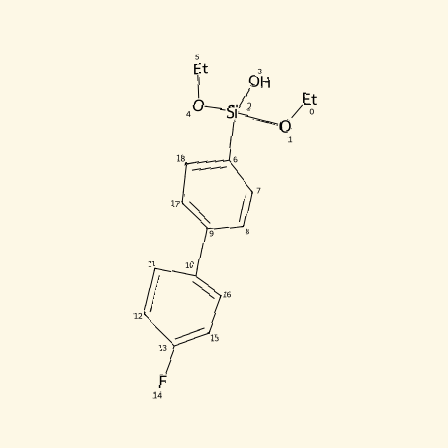 CCO[Si](O)(OCC)c1ccc(-c2ccc(F)cc2)cc1